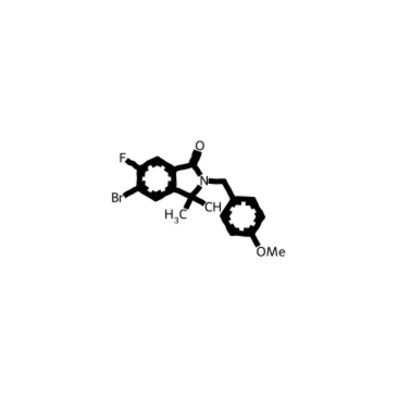 COc1ccc(CN2C(=O)c3cc(F)c(Br)cc3C2(C)C)cc1